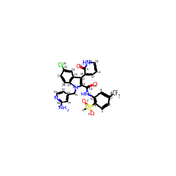 CS(=O)(=O)c1ccc(C(F)(F)F)cc1NC(=O)c1c(-c2ccc[nH]c2=O)c2cc(Cl)ccc2n1Cc1ccnc(N)c1